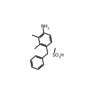 CS(=O)(=O)O.Cc1c(N)ccc(Cc2ccccc2)c1C